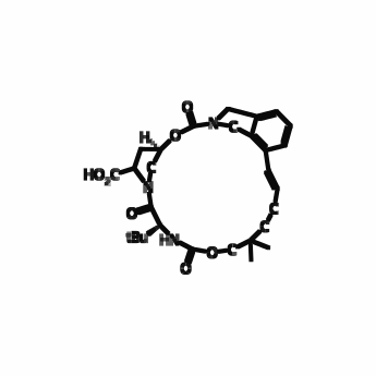 CC1(C)CC/C=C/c2cccc3c2CN(C3)C(=O)O[C@@H]2CC(C(=O)O)N(C2)C(=O)[C@H](C(C)(C)C)NC(=O)OC1